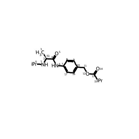 CC(C)N[C@@H](C)C(=O)Nc1ccc(COC(=O)C(C)C)cc1